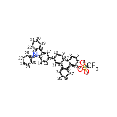 O=S(=O)(Oc1ccc2c3ccc(-c4ccc5c(c4)c4ccccc4n5-c4ccccc4)cc3c3ccccc3c2c1)C(F)(F)F